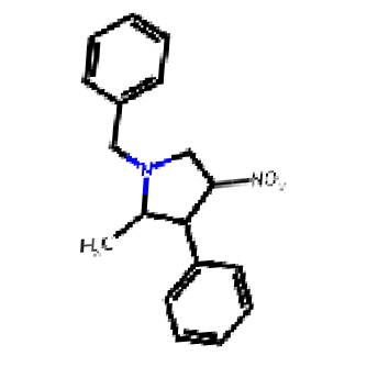 CC1C(c2ccccc2)C([N+](=O)[O-])CN1Cc1ccccc1